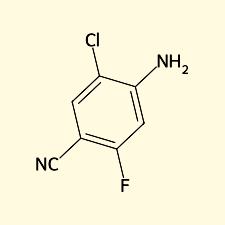 N#Cc1cc(Cl)c(N)cc1F